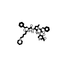 CC(C)CC(NC(=O)[C@H](Cc1ccccc1)N1C(=O)C(NC(=O)[C@H](CCc2ccccc2)NC(=O)CCCCN2CCCCC2)CC1C)C(=O)C1(C)CO1